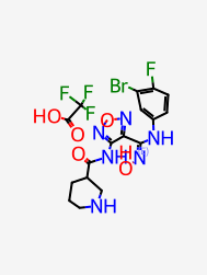 O=C(Nc1nonc1/C(=N\O)Nc1ccc(F)c(Br)c1)C1CCCNC1.O=C(O)C(F)(F)F